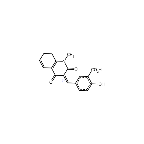 CN1C(=O)/C(=C\c2ccc(O)c(C(=O)O)c2)C(=O)C2=C1CCC=C2